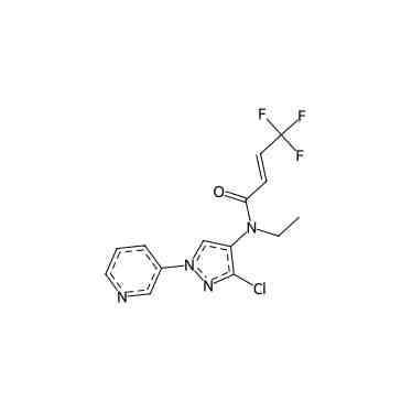 CCN(C(=O)C=CC(F)(F)F)c1cn(-c2cccnc2)nc1Cl